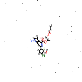 CCCCOCC(C)OC(=O)c1nc(-c2ccc(Cl)c(OC)c2F)cc2[nH]cc(C)c12